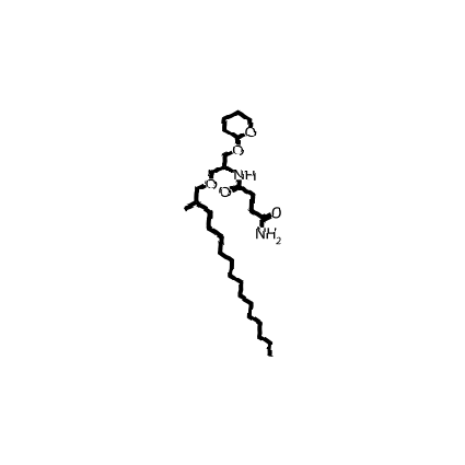 CCCCCCCCCCCCCCC(C)COCC(COC1CCCCO1)NC(=O)CCC(N)=O